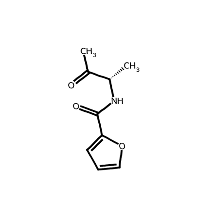 CC(=O)[C@H](C)NC(=O)c1ccco1